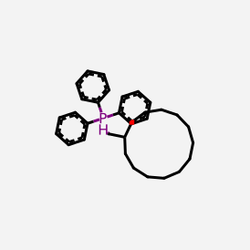 c1ccc([PH](CC2CCCCCCCCCCCC2)(c2ccccc2)c2ccccc2)cc1